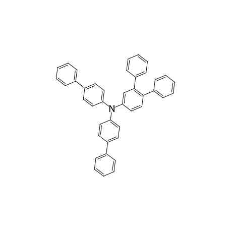 c1ccc(-c2ccc(N(c3ccc(-c4ccccc4)cc3)c3ccc(-c4ccccc4)c(-c4ccccc4)c3)cc2)cc1